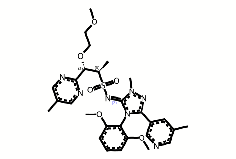 COCCO[C@@H](c1ncc(C)cn1)[C@@H](C)S(=O)(=O)/N=c1\n(C)nc(-c2cncc(C)c2)n1-c1c(OC)cccc1OC